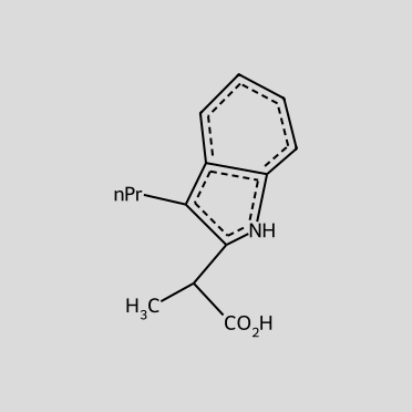 CCCc1c(C(C)C(=O)O)[nH]c2ccccc12